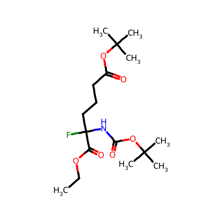 CCOC(=O)C(F)(CCCC(=O)OC(C)(C)C)NC(=O)OC(C)(C)C